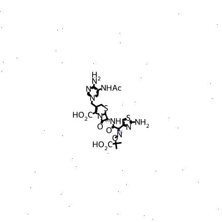 CC(=O)Nc1c[n+](CC2=C(C(=O)O)N3C(=O)[C@@H](NC(=O)/C(=N\OC(C)(C)C(=O)O)c4csc(N)n4)C3SC2)cnc1N